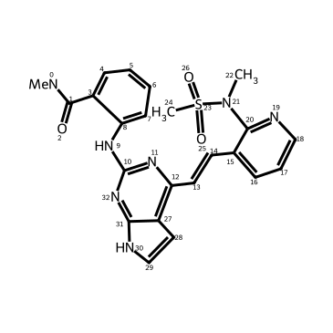 CNC(=O)c1ccccc1Nc1nc(C=Cc2cccnc2N(C)S(C)(=O)=O)c2cc[nH]c2n1